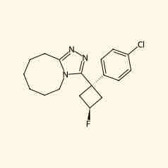 F[C@H]1C[C@@](c2ccc(Cl)cc2)(c2nnc3n2CCCCCC3)C1